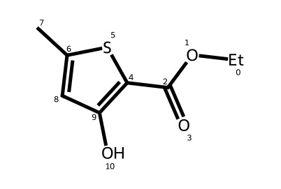 CCOC(=O)c1sc(C)cc1O